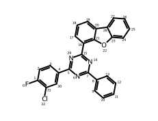 Fc1ccc(-c2nc(-c3ccccc3)nc(-c3cccc4c3oc3ccccc34)n2)cc1Cl